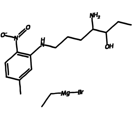 CCC(O)C(N)CCCNc1cc(C)ccc1[N+](=O)[O-].C[CH2][Mg][Br]